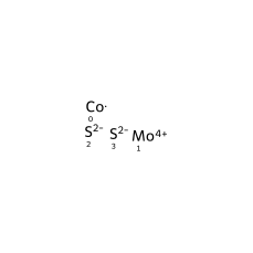 [Co].[Mo+4].[S-2].[S-2]